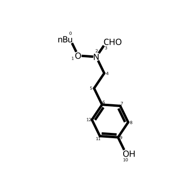 CCCCON(C=O)CCc1ccc(O)cc1